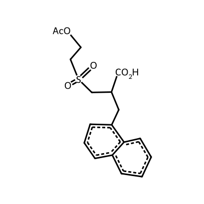 CC(=O)OCCS(=O)(=O)CC(Cc1cccc2ccccc12)C(=O)O